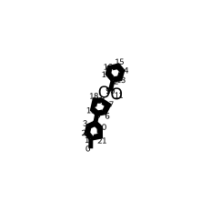 Cc1ccc(-c2ccc(OC(=O)c3ccccc3)cc2)cc1